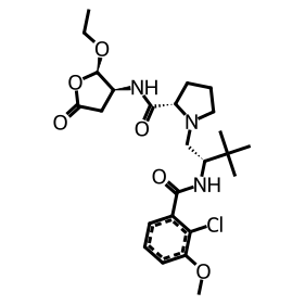 CCO[C@@H]1OC(=O)C[C@@H]1NC(=O)[C@@H]1CCCN1C[C@@H](NC(=O)c1cccc(OC)c1Cl)C(C)(C)C